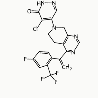 C=C(c1ccc(F)cc1C(F)(F)F)c1ncnc2c1CCN(c1cn[nH]c(=O)c1Cl)C2